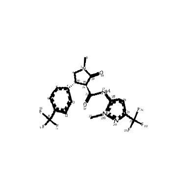 CN1C[C@@H](c2ccc(C(F)(F)F)cc2)[C@H](C(=O)Nc2cc(C(F)(F)F)nn2C)C1=O